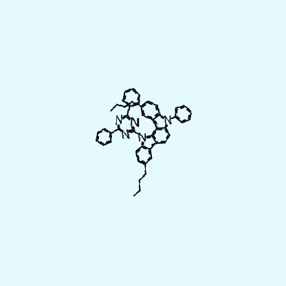 CCCCc1ccc2c(c1)c1c(ccc3c4cc(CCCC)ccc4n(-c4nc(-c5ccccc5)nc(-c5ccccc5)n4)c31)n2-c1ccccc1